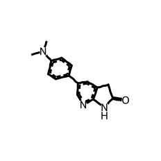 CN(C)c1ccc(-c2cnc3c(c2)CC(=O)N3)cc1